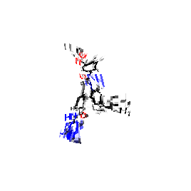 COC(=O)c1cccc(NC(=O)N(Cc2ccc(C(=O)Nc3nn[nH]n3)cc2)c2ccc(C(C)(C)C)cc2)c1